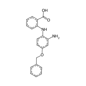 Nc1cc(OCc2ccccc2)ccc1Nc1ccccc1C(=O)O